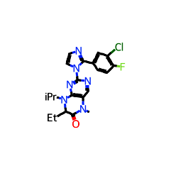 CCC1C(=O)N(C)c2cnc(-n3ccnc3-c3ccc(F)c(Cl)c3)nc2N1C(C)C